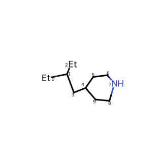 CCC(CC)CC1CCNCC1